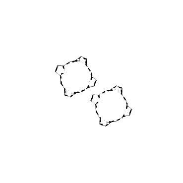 C1=Cc2cc3ccc(cc4nc(cc5ccc(cc1n2)[nH]5)C=C4)[nH]3.C1=Cc2cc3ccc(cc4nc(cc5ccc(cc1n2)[nH]5)C=C4)[nH]3.O